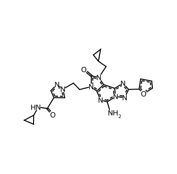 Nc1nc2c(c3nc(-c4ccco4)nn13)n(CC1CC1)c(=O)n2CCn1cc(C(=O)NC2CC2)cn1